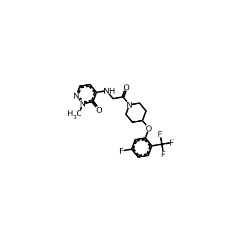 Cn1nccc(NCC(=O)N2CCC(Oc3cc(F)ccc3C(F)(F)F)CC2)c1=O